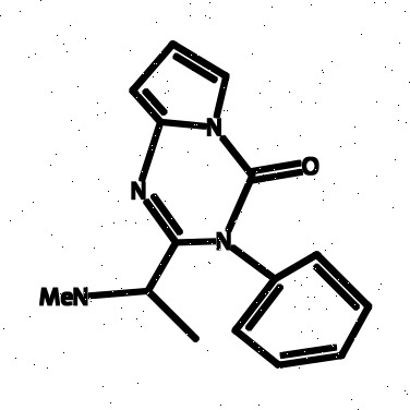 CNC(C)c1nc2cccn2c(=O)n1-c1ccccc1